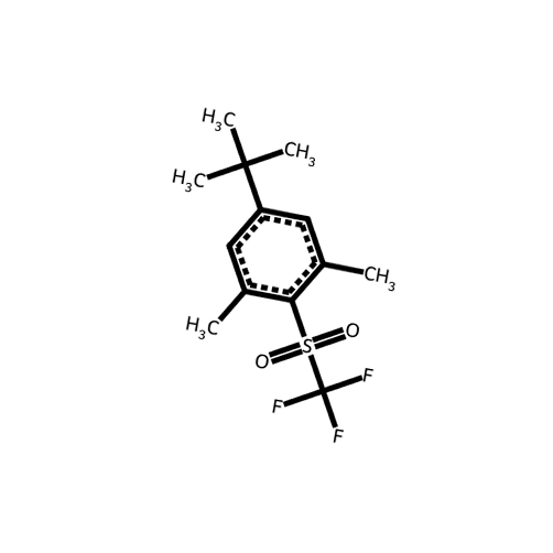 Cc1cc(C(C)(C)C)cc(C)c1S(=O)(=O)C(F)(F)F